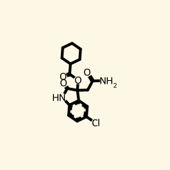 NC(=O)CC1(OC(=O)C2CCCCC2)C(=O)Nc2ccc(Cl)cc21